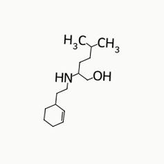 CC(C)CCC(CO)NCCC1C=CCCC1